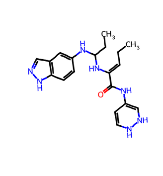 CC/C=C(\NC(CC)Nc1ccc2[nH]ncc2c1)C(=O)NC1=CNNC=C1